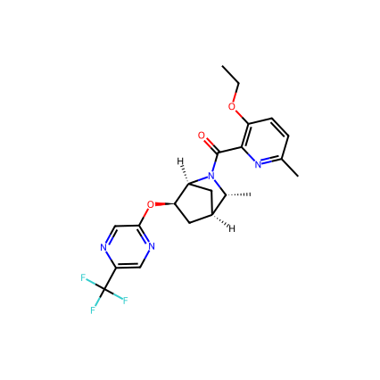 CCOc1ccc(C)nc1C(=O)N1[C@H](C)[C@H]2C[C@@H](Oc3cnc(C(F)(F)F)cn3)[C@@H]1C2